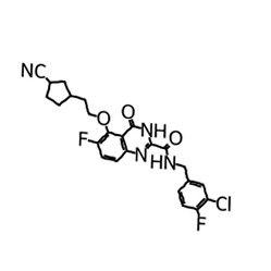 N#CC1CCC(CCOc2c(F)ccc3nc(C(=O)NCc4ccc(F)c(Cl)c4)[nH]c(=O)c23)C1